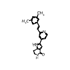 Cc1cc(C)cc(C=Cc2cc(-c3cc4c([nH]3)CCNC4=O)ccn2)c1